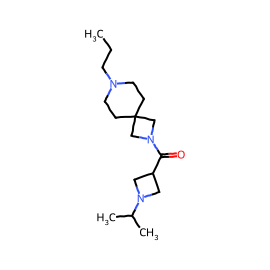 CCCN1CCC2(CC1)CN(C(=O)C1CN(C(C)C)C1)C2